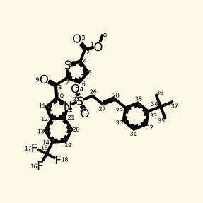 COC(=O)c1ccc(C(=O)c2cc3cc(C(F)(F)F)ccc3n2S(=O)(=O)CC=Cc2cccc(C(C)(C)C)c2)s1